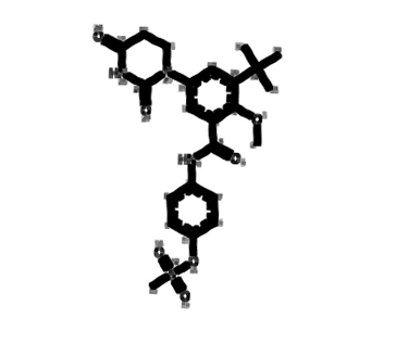 COc1c(C(=O)Nc2ccc(OS(C)(=O)=O)cc2)cc(N2CCC(=O)NC2=O)cc1C(C)(C)C